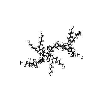 CCCCCCCCC(CCCCCC)CN1C(=O)C2=C(c3ncc(-c4ccc(C(C)(C)N)s4)s3)N(CC(CCCCCC)CCCCCCCC)C(=O)C2=C1c1ncc(-c2ccc(-c3cc4c(s3)-c3sc(C(C)(C)N)cc3C4(CCCCCCCC)CCCCCCCC)s2)s1